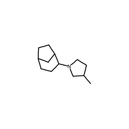 CC1CCN(C2CCC3CCC2C3)C1